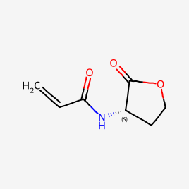 C=CC(=O)N[C@H]1CCOC1=O